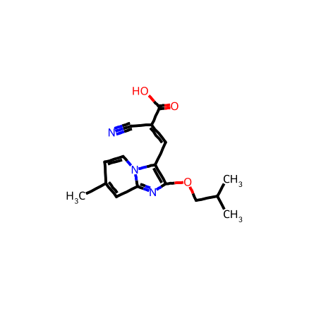 Cc1ccn2c(C=C(C#N)C(=O)O)c(OCC(C)C)nc2c1